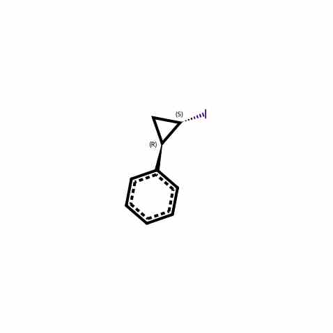 I[C@H]1C[C@@H]1c1ccccc1